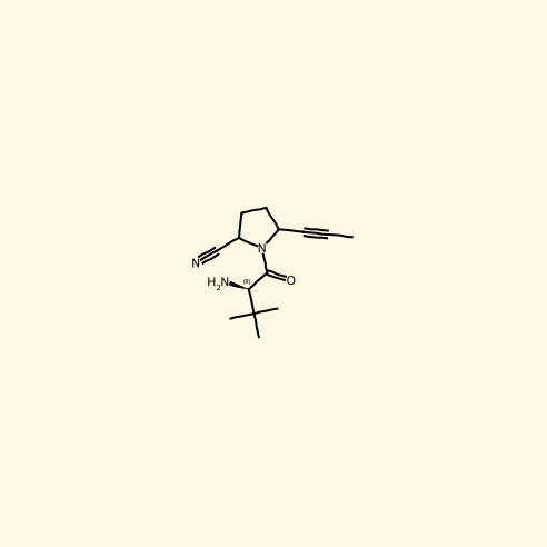 CC#CC1CCC(C#N)N1C(=O)[C@H](N)C(C)(C)C